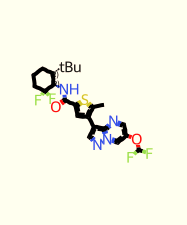 Cc1sc(C(=O)N[C@@H]2[C@@H](C(C)(C)C)CCCC2(F)F)cc1-c1cnn2cc(OC(F)F)cnc12